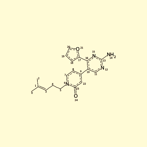 CC(C)=CCCn1ccc(-c2cnc(N)nc2-c2ccco2)cc1=O